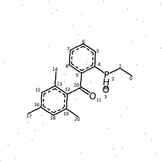 CC[PH](=O)c1ccccc1C(=O)c1c(C)cc(C)cc1C